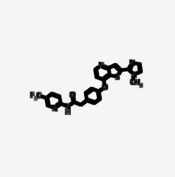 Cn1ccnc1-c1cc2nccc(Oc3ccc(CC(=O)Nc4ccc(C(F)(F)F)cn4)cc3)c2s1